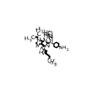 CCCCNc1nc(N[C@H]2CC[C@H](N)CC2)nc2c1ncn2C(C)C.Cl.Cl